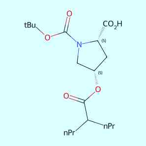 CCCC(CCC)C(=O)O[C@H]1C[C@@H](C(=O)O)N(C(=O)OC(C)(C)C)C1